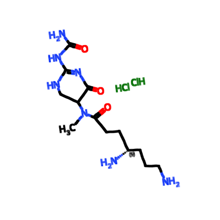 CN(C(=O)CC[C@@H](N)CCCN)C1CNC(NC(N)=O)=NC1=O.Cl.Cl